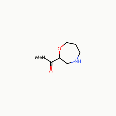 CNC(=O)C1CNCCCO1